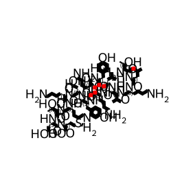 CSCC[C@H](NC(=O)[C@H](CC(=O)O)NC(=O)[C@@H](NC(=O)[C@H](CCCCN)NC(=O)[C@H](CCCCN)NC(=O)[C@H](CC(=O)O)NC(=O)[C@H](Cc1ccc(O)cc1)NC(=O)CNC(=O)[C@H](Cc1ccc(O)cc1)NC(=O)[C@H](CCCCN)NC(=O)[C@H](CCCCN)NC(=O)[C@H](CC(C)C)NC(=O)[C@@H](NC(=O)[C@H](CCCCN)NC(=O)[C@H](CC(C)C)NC(=O)[C@@H](N)[C@@H](C)O)C(C)C)[C@@H](C)O)C(=O)O